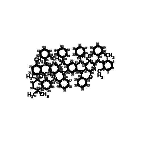 Cc1ccccc1N(c1nc2c3c(n1)N(c1ccccc1)c1cc4c(cc1B3c1ccccc1O2)B1c2ccccc2N(c2ccc3c(c2)C(C)(C)CCC3(C)C)c2nc(N(c3ccccc3C)c3c(C)cccc3C)nc(c21)N4c1ccccc1)c1c(C)cccc1C